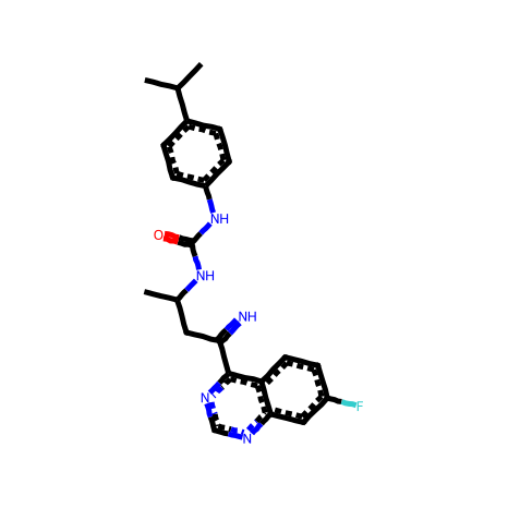 CC(CC(=N)c1ncnc2cc(F)ccc12)NC(=O)Nc1ccc(C(C)C)cc1